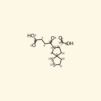 O=C(O)CCC(=O)N1CC2(CCSS2)C[C@H]1C(=O)O